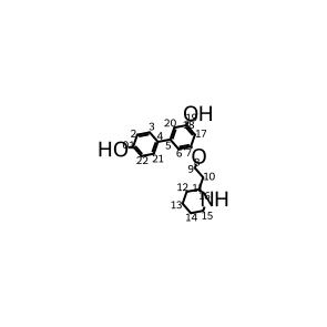 Oc1ccc(-c2[c]c(OCCC3CCCCN3)cc(O)c2)cc1